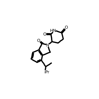 CC(C)C(C)c1cccc2c1CN(C1CCC(=O)NC1=O)C2=O